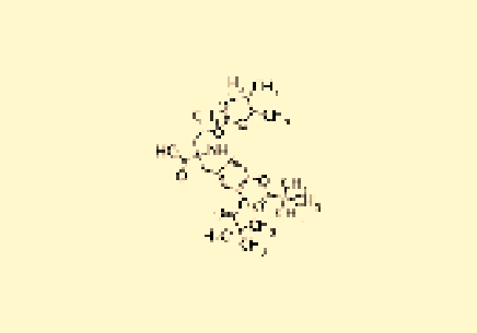 CC(C)C(C)OC(=O)O[C@@H](C)CC(N)(Cc1ccc(OC(=O)C(C)(C)C)c(OC(=O)C(C)(C)C)c1)C(=O)O